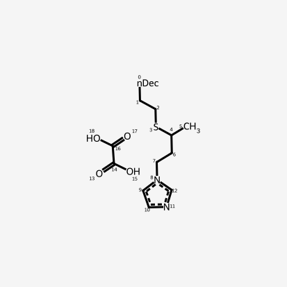 CCCCCCCCCCCCSC(C)CCn1ccnc1.O=C(O)C(=O)O